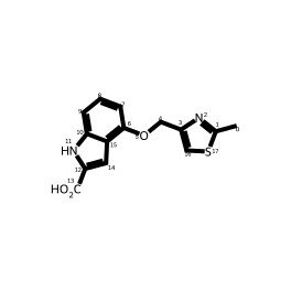 Cc1nc(COc2cccc3[nH]c(C(=O)O)cc23)cs1